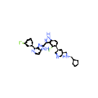 Fc1cccc(-c2nccc3[nH]c(-c4n[nH]c5ccc(-c6cncc(CNCC7CCCC7)c6)c(F)c45)nc23)c1